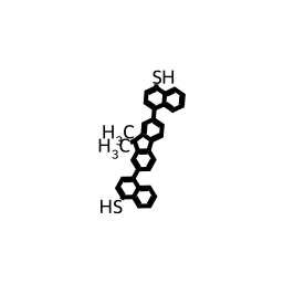 CC1(C)c2cc(-c3ccc(S)c4ccccc34)ccc2-c2ccc(-c3ccc(S)c4ccccc34)cc21